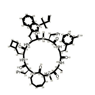 C=CC(C)(C)n1cc(C[C@@H]2NC(=O)[C@H](CC3CCC3)NC(=O)[C@H](CC(C)C)N3CC/C=C\C[C@@H](C3=O)N(C)C(=O)[C@H](C)NC(=O)[C@H](Cc3ccnc(F)c3)NC(=O)[C@H](CC(C)C)N(C)C2=O)c2ccccc21